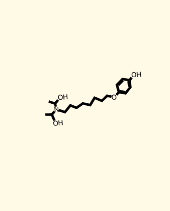 CC(O)N(CCCCCCCCOc1ccc(O)cc1)C(C)O